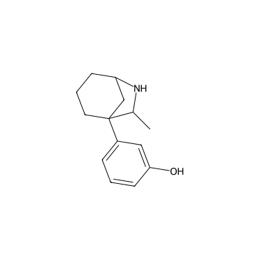 CC1NC2CCCC1(c1cccc(O)c1)C2